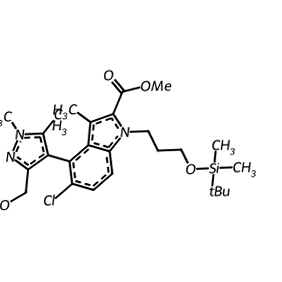 COC(=O)c1c(C)c2c(-c3c(CO)nn(C)c3C)c(Cl)ccc2n1CCCO[Si](C)(C)C(C)(C)C